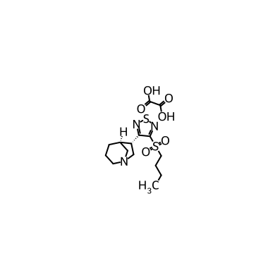 CCCCS(=O)(=O)c1nsnc1[C@@H]1CN2CCC[C@@H]1C2.O=C(O)C(=O)O